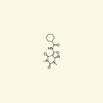 Cn1c(=O)c2c(NC(=O)C3CCCCC3)onc2n(C)c1=O